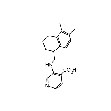 Cc1ccc2c(c1C)CCCC2CNc1cnccc1C(=O)O